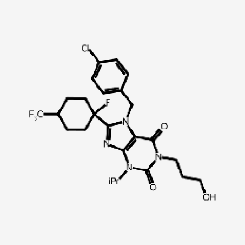 CC(C)n1c(=O)n(CCCO)c(=O)c2c1nc(C1(F)CCC(C(F)(F)F)CC1)n2Cc1ccc(Cl)cc1